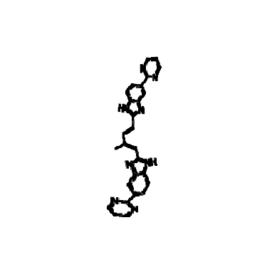 CC(C=Cc1nc2cc(-c3ncccn3)ccc2[nH]1)=Cc1nc2cc(-c3ncccn3)ccc2[nH]1